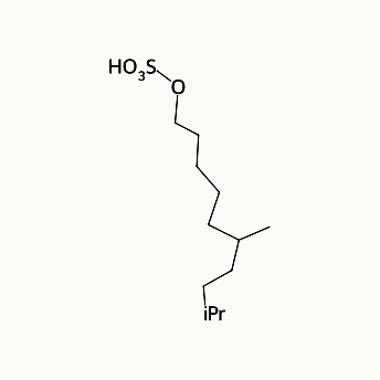 CC(C)CCC(C)CCCCCOS(=O)(=O)O